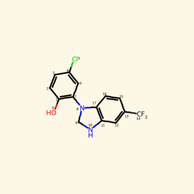 Oc1ccc(Cl)cc1N1[CH]Nc2cc(C(F)(F)F)ccc21